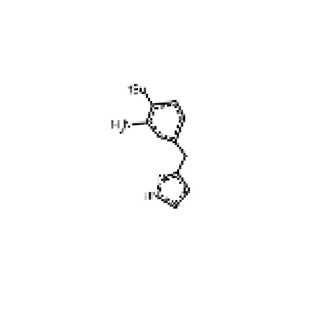 CC(C)(C)c1ccc(Cc2cc[nH]n2)cc1N